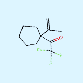 C=C(C)C1(C(=O)C(F)(F)F)CCCCC1